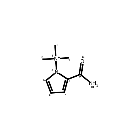 C[N+](C)(C)n1cccc1C(N)=O